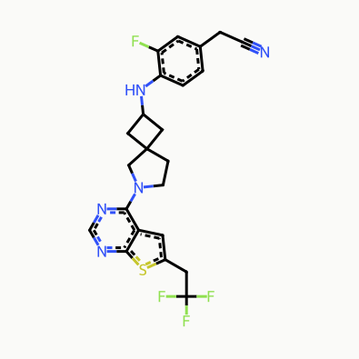 N#CCc1ccc(NC2CC3(CCN(c4ncnc5sc(CC(F)(F)F)cc45)C3)C2)c(F)c1